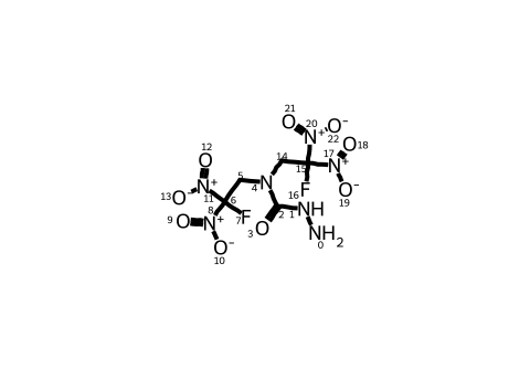 NNC(=O)N(CC(F)([N+](=O)[O-])[N+](=O)[O-])CC(F)([N+](=O)[O-])[N+](=O)[O-]